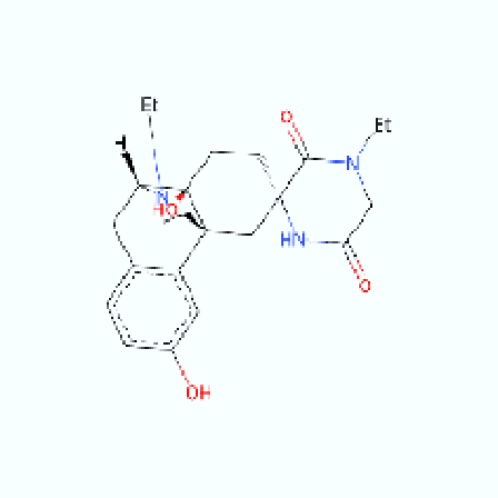 CCN1CC(=O)N[C@]2(CC[C@@]3(O)[C@H]4Cc5ccc(O)cc5[C@@]3(CCN4CC)C2)C1=O